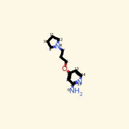 Nc1cc(OCCCN2CCCC2)ccn1